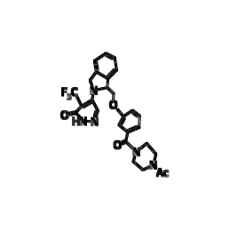 CC(=O)N1CCN(C(=O)c2cccc(OCC3c4ccccc4CN3c3cn[nH]c(=O)c3C(F)(F)F)c2)CC1